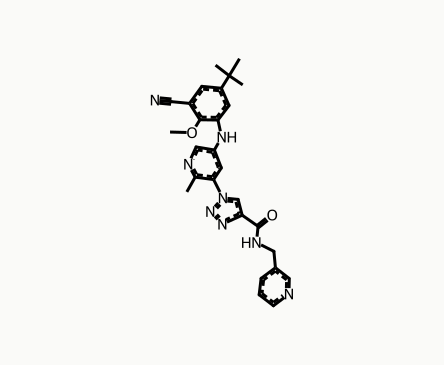 COc1c(C#N)cc(C(C)(C)C)cc1Nc1cnc(C)c(-n2cc(C(=O)NCc3cccnc3)nn2)c1